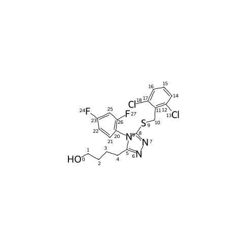 OCCCCc1nnc(SCc2c(Cl)cccc2Cl)n1-c1ccc(F)cc1F